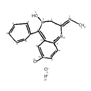 CN=C1CN(O)C(c2ccccc2)=c2cc(Cl)ccc2=N1.[Cl-].[H+]